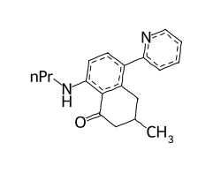 CCCNc1ccc(-c2ccccn2)c2c1C(=O)CC(C)C2